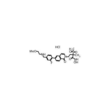 COCCNCc1ccc(-c2ccc3c(=O)n(CCC(C)(C(=O)NO)S(C)(=O)=O)ccc3c2)c(F)c1.Cl